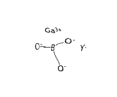 [Ga+3].[O-]B([O-])[O-].[Y]